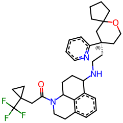 O=C(CC1(C(F)(F)F)CC1)N1CCc2cccc3c2C1CCC3NCC[C@@]1(c2ccccn2)CCOC2(CCCC2)C1